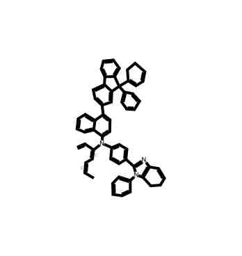 C=C/C(=C\C=C/C)N(c1ccc(-c2nc3c(n2-c2ccccc2)CCC=C3)cc1)c1ccc(-c2ccc3c(c2)C(C2=CC=CCC2)(c2ccccc2)c2ccccc2-3)c2ccccc12